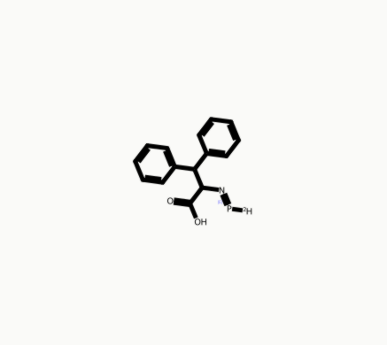 [2H]/P=N/C(C(=O)O)C(c1ccccc1)c1ccccc1